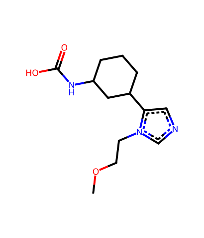 COCCn1cncc1C1CCCC(NC(=O)O)C1